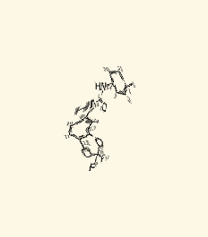 Cc1ccc(NC(=O)Nc2ccc3c(c2)OC(F)(F)O3)cc1